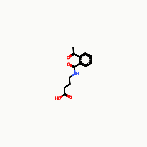 CC(=O)c1ccccc1C(=O)NCCCC(=O)O